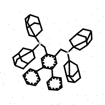 c1ccc(-c2cc(CP(C34CC5CC(CC(C5)C3)C4)C34CC5CC(CC(C5)C3)C4)c(CP(C34CC5CC(CC(C5)C3)C4)C34CC5CC(CC(C5)C3)C4)cc2-c2ccccc2)cc1